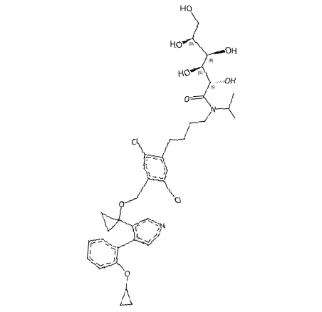 CC(C)N(CCCCc1cc(Cl)c(COC2(c3cnccc3-c3ccccc3OC3CC3)CC2)cc1Cl)C(=O)[C@@H](O)[C@@H](O)[C@H](O)[C@@H](O)CO